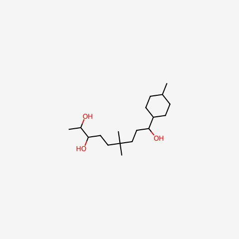 CC1CCC(C(O)CCC(C)(C)CCC(O)C(C)O)CC1